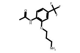 CC(=O)Nc1ccc(C(F)(F)F)cc1OCCCN